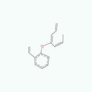 C=C/C=C(\C=C/C)Oc1ccccc1C=C